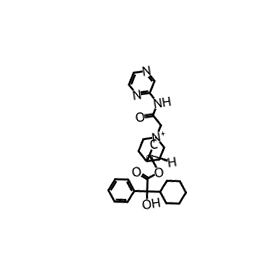 O=C(C[N+]12CCC(CC1)[C@@H](OC(=O)C(O)(c1ccccc1)C1CCCCC1)C2)Nc1cnccn1